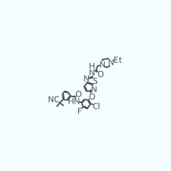 CCN1CCN(CC(=O)Nc2nc3ccc(Oc4cc(NC(=O)c5cccc(C(C)(C)C#N)c5)c(F)cc4Cl)nc3s2)CC1